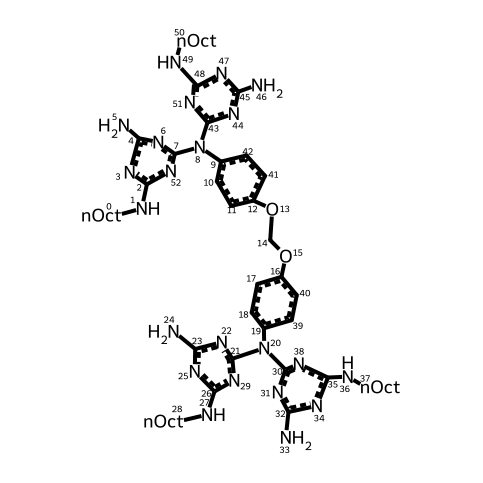 CCCCCCCCNc1nc(N)nc(N(c2ccc(OCOc3ccc(N(c4nc(N)nc(NCCCCCCCC)n4)c4nc(N)nc(NCCCCCCCC)n4)cc3)cc2)c2nc(N)nc(NCCCCCCCC)n2)n1